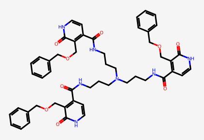 O=C(NCCCN(CCCNC(=O)c1cc[nH]c(=O)c1COCc1ccccc1)CCCNC(=O)c1cc[nH]c(=O)c1COCc1ccccc1)c1cc[nH]c(=O)c1COCc1ccccc1